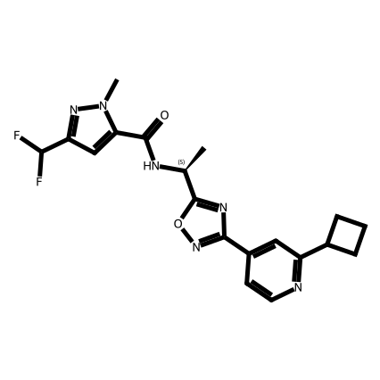 C[C@H](NC(=O)c1cc(C(F)F)nn1C)c1nc(-c2ccnc(C3CCC3)c2)no1